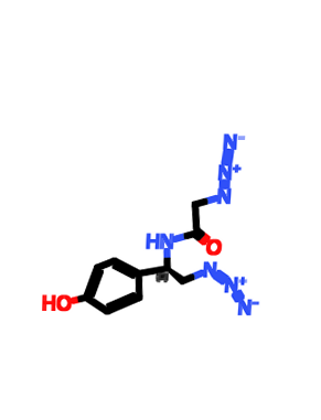 [N-]=[N+]=NCC(=O)N[C@@H](CN=[N+]=[N-])c1ccc(O)cc1